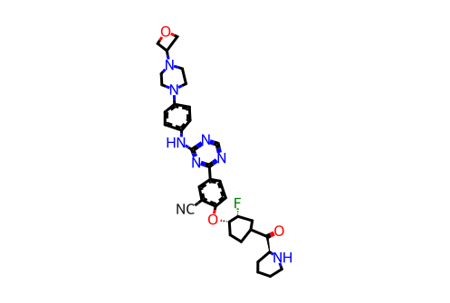 N#Cc1cc(-c2ncnc(Nc3ccc(N4CCN(C5COC5)CC4)cc3)n2)ccc1O[C@H]1CCC(C(=O)[C@@H]2CCCCN2)C[C@H]1F